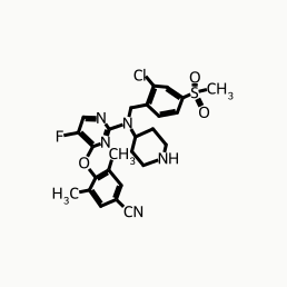 Cc1cc(C#N)cc(C)c1Oc1nc(N(Cc2ccc(S(C)(=O)=O)cc2Cl)C2CCNCC2)ncc1F